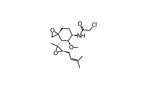 CO[C@H]1[C@H](C2(C)O[C@@H]2CC=C(C)C)[C@]2(CC[C@H]1NC(=O)CCl)CO2